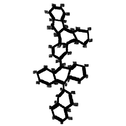 c1ccc2cc(-c3c4ccccc4c(-c4ccc5c(c4)c4ccccc4c4c6ccccc6sc54)c4ccccc34)ccc2c1